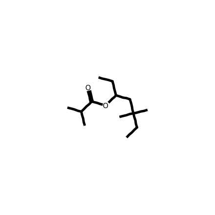 CCC(CC(C)(C)CC)OC(=O)C(C)C